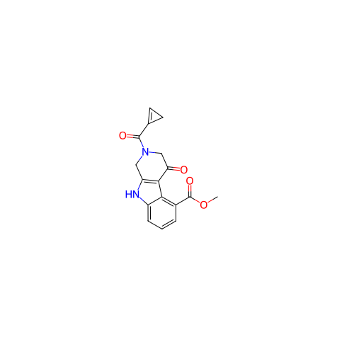 COC(=O)c1cccc2[nH]c3c(c12)C(=O)CN(C(=O)C1=CC1)C3